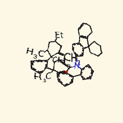 C=C1CC(CC)CC(C)C1(C)c1ccccc1C1(C)C=CC(N(c2ccc3c(c2)C2(CCCCC2)C2=C3C=CCC2)c2ccccc2-c2ccccc2)=CC1